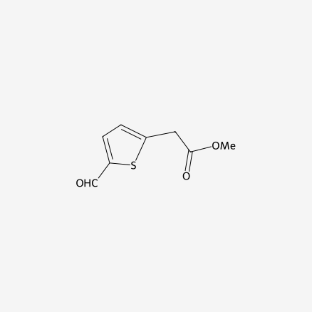 COC(=O)Cc1ccc(C=O)s1